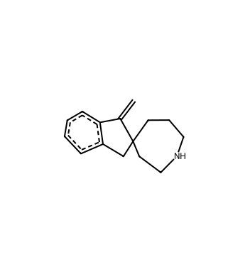 C=C1c2ccccc2CC12CCCNCC2